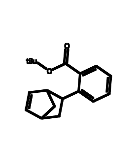 CC(C)(C)OC(=O)c1ccccc1C1CC2C=CC1C2